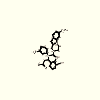 CCC(=O)CC1c2cccc(F)c2N=C(N2CCn3c(cc4ccc(OC)cc43)C2)N1c1cccc(C)c1